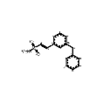 CNS(=O)(=O)C=Cc1cccc(Cc2ccccc2)c1